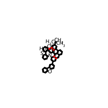 CC(C)(C)c1cc(-c2cccc3cccc(-c4ccccc4N(c4cccc(-c5ccc6oc7ccccc7c6c5)c4)c4cccc5sc6ccccc6c45)c23)cc(C(C)(C)C)c1